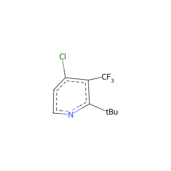 CC(C)(C)c1nccc(Cl)c1C(F)(F)F